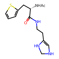 CC(=O)N[C@@H](Cc1cccs1)C(=O)NCCC1=CNCN1